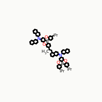 CC(C)c1ccc2c(c1)Oc1cc(N(c3ccc4ccccc4c3)c3ccc4ccccc4c3)cc3c1B2c1ccc(C(C)Cc2cccc4cc(N(c5cc6c7c(c5)Oc5ccc(C(C)C)cc5B7c5cc(C(C)C)ccc5O6)c5ccc6ccccc6c5)ccc24)cc1O3